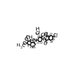 COc1cc2nccc(Nc3ccc(N4C(=O)c5ccc(Cl)cc5C4=O)c(C)c3)c2cc1OC.Cl